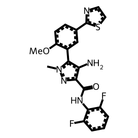 COc1ccc(-c2nccs2)cc1-c1c(N)c(C(=O)Nc2c(F)cccc2F)nn1C